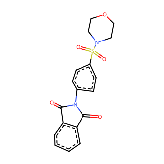 O=C1c2ccccc2C(=O)N1c1ccc(S(=O)(=O)N2CCOCC2)cc1